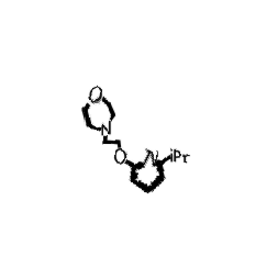 CC(C)c1cccc(OCCN2CCOCC2)n1